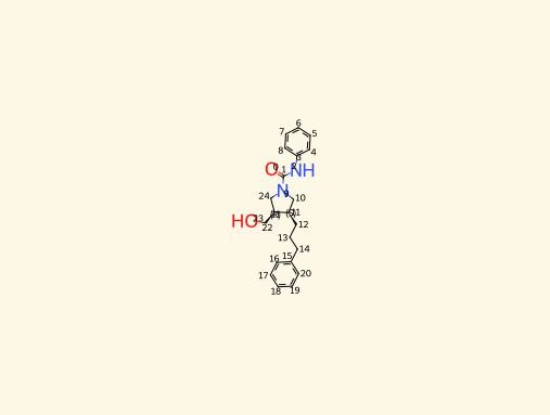 O=C(Nc1ccccc1)N1C[C@@H](CCCc2ccccc2)[C@@H](CO)C1